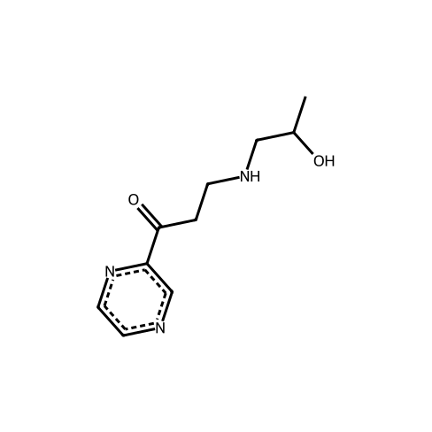 CC(O)CNCCC(=O)c1cnccn1